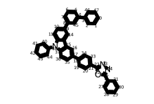 c1ccc(-c2cccc(-c3ccc4c(c3)c3cc(-c5ccc(-c6nnc(-c7ccccc7)o6)cc5)ccc3n4-c3ccccc3)c2)cc1